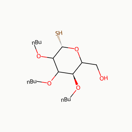 CCCCOC1C(OCCCC)[C@H](S)OC(CO)[C@H]1OCCCC